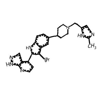 Cc1ncc(CN2CCC(c3ccc4[nH]c(-c5ccnc6[nH]ncc56)c(C(C)C)c4c3)CC2)[nH]1